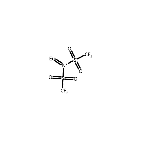 O=S(=O)([N+](=[Eu])S(=O)(=O)C(F)(F)F)C(F)(F)F